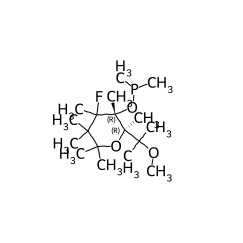 COC(C)(C)[C@@]1(C)OC(C)(C)C(C)(C)C(C)(F)[C@]1(C)OP(C)C